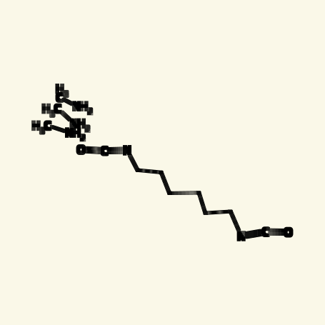 CN.CN.CN.O=C=NCCCCCCN=C=O